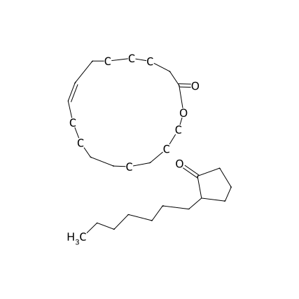 CCCCCCCC1CCCC1=O.O=C1CCCCCC=CCCCCCCCCO1